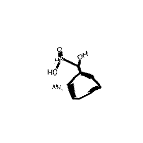 O=[PH](O)C(O)c1ccccc1.[AlH3]